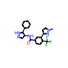 Cn1ccc(-c2cc(C(=O)Nc3cn[nH]c3-c3ccccc3)ccc2C(F)(F)F)n1